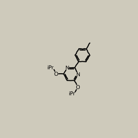 Cc1ccc(-c2nc(OC(C)C)cc(OC(C)C)n2)cc1